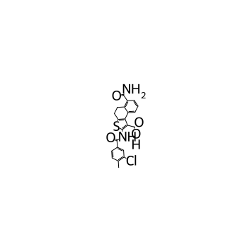 Cc1ccc(C(=O)Nc2sc3c(c2C(=O)O)-c2cccc(C(N)=O)c2CC3)cc1Cl